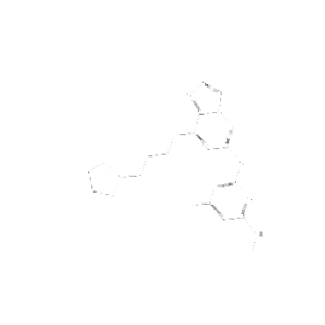 ONc1cc(O)nc(Nc2cc(OCCCN3CCCC3)c3nccn3c2)n1